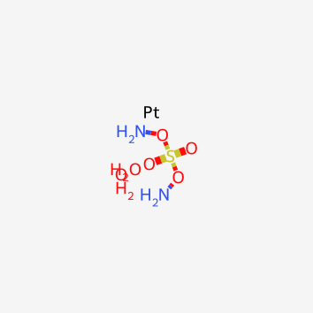 NOS(=O)(=O)ON.O.O.[Pt]